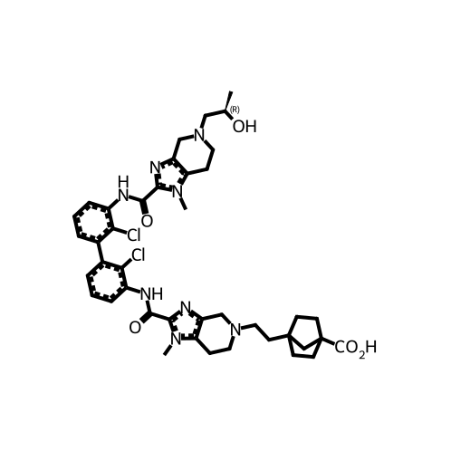 C[C@@H](O)CN1CCc2c(nc(C(=O)Nc3cccc(-c4cccc(NC(=O)c5nc6c(n5C)CCN(CCC57CCC(C(=O)O)(CC5)C7)C6)c4Cl)c3Cl)n2C)C1